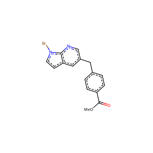 COC(=O)c1ccc(Cc2cnc3c(ccn3Br)c2)cc1